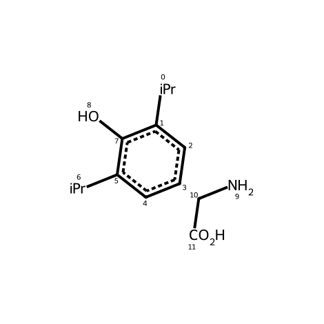 CC(C)c1cccc(C(C)C)c1O.NCC(=O)O